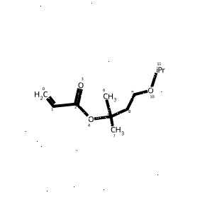 C=CC(=O)OC(C)(C)CCOC(C)C